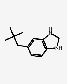 CC(C)(C)Cc1ccc2c(c1)NCN2